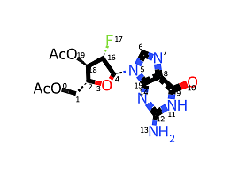 CC(=O)OC[C@H]1O[C@@H](n2cnc3c(=O)[nH]c(N)nc32)[C@@H](F)[C@@H]1OC(C)=O